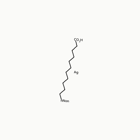 CCCCCCCCCCCCCCCCCCCC(=O)O.[Ag]